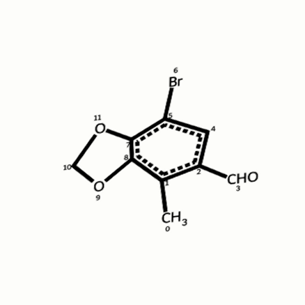 Cc1c(C=O)cc(Br)c2c1OCO2